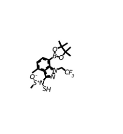 Cc1ccc(B2OC(C)(C)C(C)(C)O2)c2c1c(N(S)[S+](C)[O-])nn2CC(F)(F)F